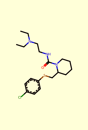 CCN(CC)CCNC(=O)N1CCCCC1CSc1ccc(Cl)cc1